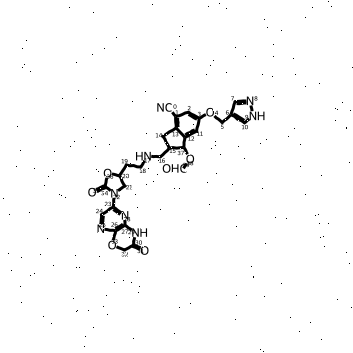 N#Cc1cc(OCc2cn[nH]c2)cc2c1CC(CNCCC1CN(c3cnc4c(n3)NC(=O)CO4)C(=O)O1)C2OC=O